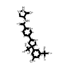 O=C1NOCC1NC(=S)c1ccc(C2=NCC(c3cc(Cl)cc(C(F)(F)F)c3)(C(F)(F)F)C2)cn1